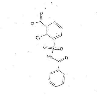 O=C(NS(=O)(=O)c1cccc(C(=O)Cl)c1Cl)c1ccccc1